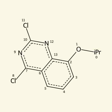 CC(C)Oc1cccc2c(Cl)nc(Cl)nc12